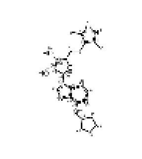 Cc1noc(C)c1CC[C@H]1O[C@@H](n2cnc3c(NC4CCCC4)ncnc32)[C@H](O)[C@@H]1O